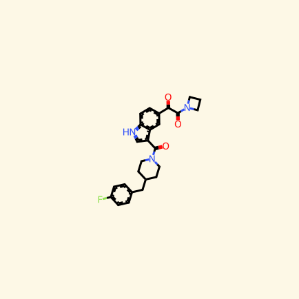 O=C(C(=O)N1CCC1)c1ccc2[nH]cc(C(=O)N3CCC(Cc4ccc(F)cc4)CC3)c2c1